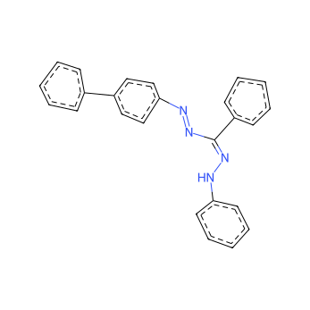 c1ccc(NN=C(N=Nc2ccc(-c3ccccc3)cc2)c2ccccc2)cc1